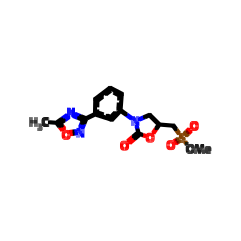 COS(=O)(=O)CC1CN(c2cccc(-c3noc(C)n3)c2)C(=O)O1